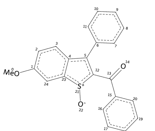 COc1ccc2c(-c3ccccc3)c(C(=O)c3ccccc3)[s+]([O-])c2c1